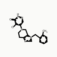 Cc1ccccc1Cn1cnc2c1CN(c1cn[nH]c(=O)c1Cl)CC2